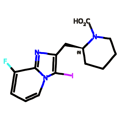 O=C(O)N1CCCC[C@H]1Cc1nc2c(F)cccn2c1I